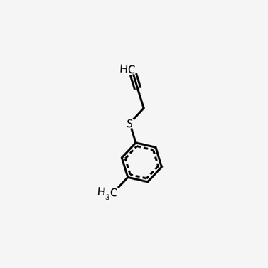 C#CCSc1cccc(C)c1